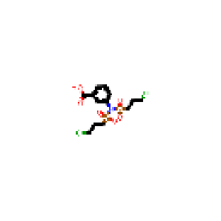 O=C(O)c1cccc(N(S(=O)(=O)CCCCl)S(=O)(=O)CCCCl)c1